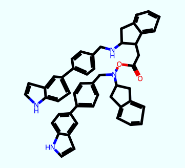 O=C(CC1c2ccccc2CC1NCc1ccc(-c2ccc3[nH]ccc3c2)cc1)ON(Cc1ccc(-c2ccc3[nH]ccc3c2)cc1)C1Cc2ccccc2C1